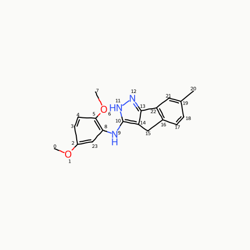 COc1ccc(OC)c(Nc2[nH]nc3c2Cc2ccc(C)cc2-3)c1